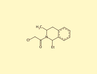 CCC1c2ccccc2CC(C)N1C(=O)CCl